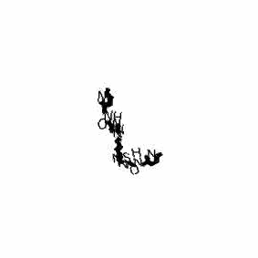 CC1=CCC(CNC(=O)c2nnc(CCCCn3cc(C(=O)NCc4ccc(C)nc4)nn3)s2)C=N1